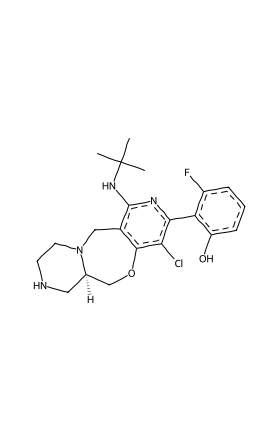 CC(C)(C)Nc1nc(-c2c(O)cccc2F)c(Cl)c2c1CN1CCNC[C@@H]1CO2